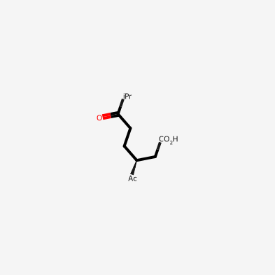 CC(=O)[C@@H](CCC(=O)C(C)C)CC(=O)O